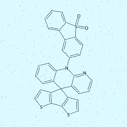 O=S1(=O)c2ccccc2-c2cc(N3c4ccccc4C4(c5cccnc53)c3ccsc3-c3sccc34)ccc21